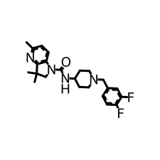 Cc1ccc2c(n1)C(C)(C)CN2C(=O)NC1CCN(Cc2ccc(F)c(F)c2)CC1